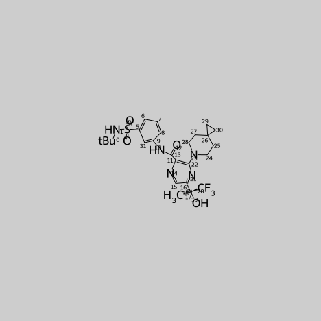 CC(C)(C)NS(=O)(=O)c1cccc(NC(=O)c2ncc([C@@](C)(O)C(F)(F)F)nc2N2CCC3(CC2)CC3)c1